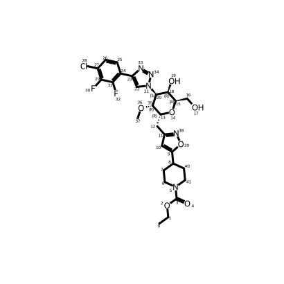 CCOC(=O)N1CCC(c2cc(C[C@H]3O[C@H](CO)[C@H](O)[C@H](n4cc(-c5ccc(Cl)c(F)c5F)nn4)[C@H]3OC)no2)CC1